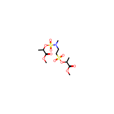 COC(=O)C(C)OS(=O)(=O)CCN(C)S(=O)(=O)OC(C)C(=O)OC